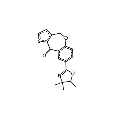 CC1OC(c2ccc3c(c2)C(=O)c2sccc2CO3)=NC1(C)C